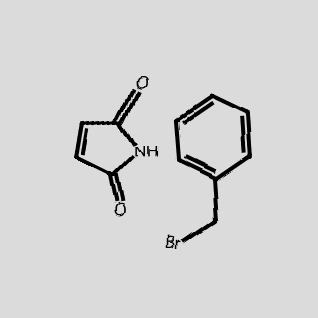 BrCc1ccccc1.O=C1C=CC(=O)N1